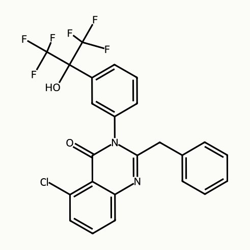 O=c1c2c(Cl)cccc2nc(Cc2ccccc2)n1-c1cccc(C(O)(C(F)(F)F)C(F)(F)F)c1